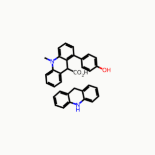 CN1c2ccccc2C(C(=O)O)c2c(-c3ccc(O)cc3)cccc21.c1ccc2c(c1)Cc1ccccc1N2